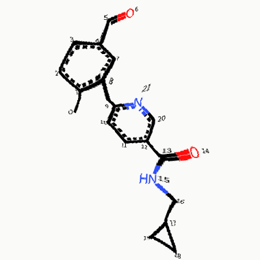 Cc1ccc(C=O)cc1-c1ccc(C(=O)NCC2CC2)cn1